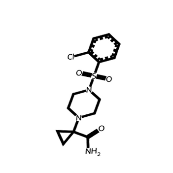 NC(=O)C1(N2CCN(S(=O)(=O)c3ccccc3Cl)CC2)CC1